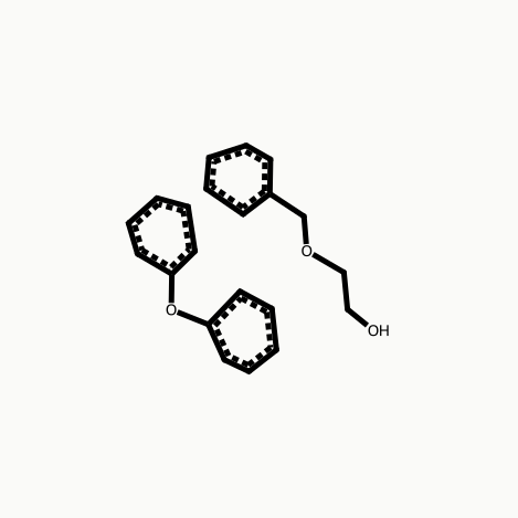 OCCOCc1ccccc1.c1ccc(Oc2ccccc2)cc1